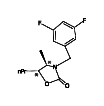 CCC[C@H]1OC(=O)N(Cc2cc(F)cc(F)c2)[C@@H]1C